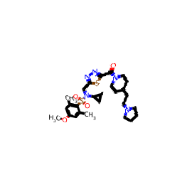 COc1cc(C)c(S(=O)(=O)N(Cc2nnc(C(=O)N3CCC(CCN4CCCC4)CC3)s2)C2CC2)c(C)c1